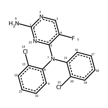 Nc1ncc(F)c(N(c2ccccc2Cl)c2ccccc2Cl)n1